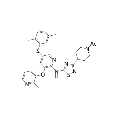 CC(=O)N1CCC(c2nsc(Nc3ncc(Sc4cc(C)ccc4C)cc3Oc3cccnc3C)n2)CC1